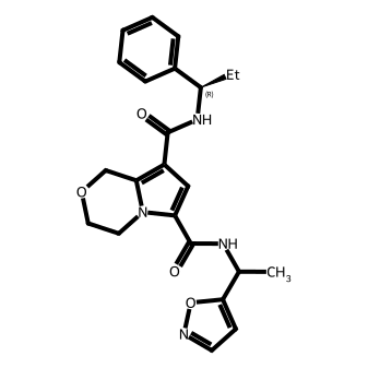 CC[C@@H](NC(=O)c1cc(C(=O)NC(C)c2ccno2)n2c1COCC2)c1ccccc1